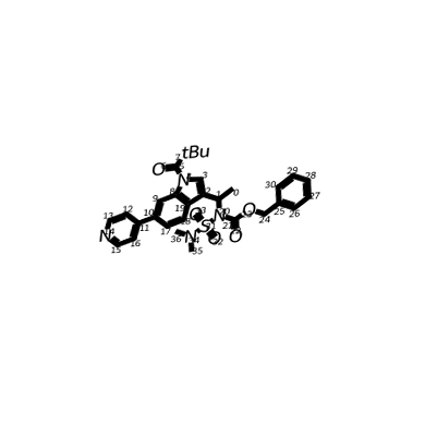 CC(c1cn(C(=O)C(C)(C)C)c2cc(-c3ccncc3)ccc12)N(C(=O)OCc1ccccc1)S(=O)(=O)N(C)C